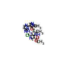 COC(=O)c1cnc(Cl)cc1N[C@@H](C)CCOc1c(-c2nccc(N)n2)cnn1C